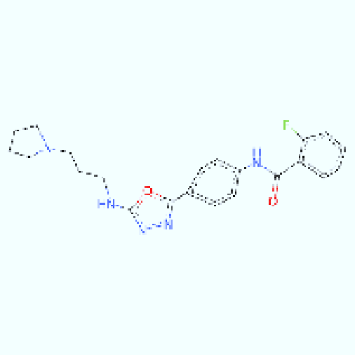 O=C(Nc1ccc(-c2nnc(NCCCN3CCCC3)o2)cc1)c1ccccc1F